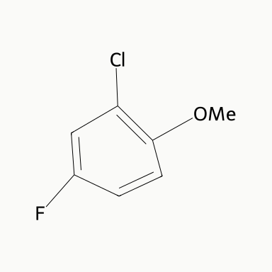 [CH2]Oc1ccc(F)cc1Cl